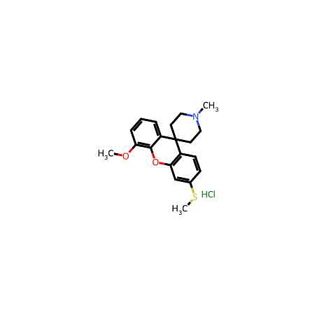 COc1cccc2c1Oc1cc(SC)ccc1C21CCN(C)CC1.Cl